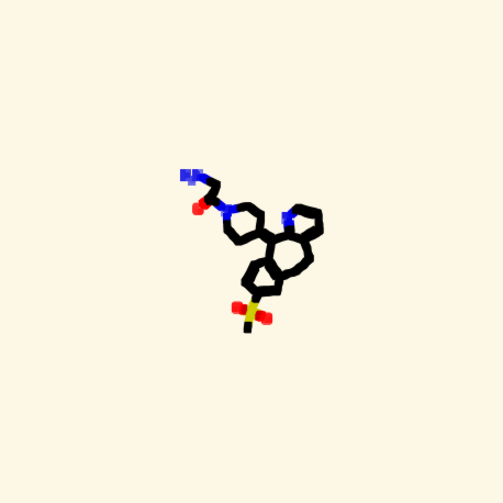 CS(=O)(=O)c1ccc2c(c1)CCc1cccnc1C2=C1CCN(C(=O)CN)CC1